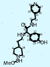 COBN1CCC(CCNC(C(=O)NCCc2ccncc2)c2ccc(O)cc2)CC1